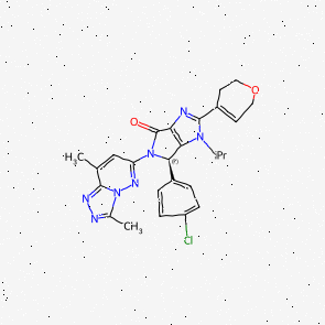 Cc1cc(N2C(=O)c3nc(C4=CCOCC4)n(C(C)C)c3[C@H]2c2ccc(Cl)cc2)nn2c(C)nnc12